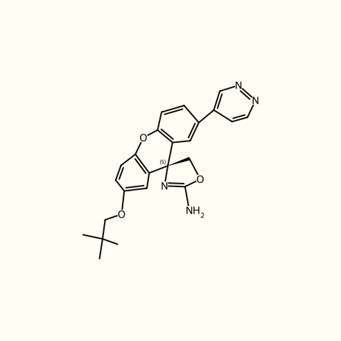 CC(C)(C)COc1ccc2c(c1)[C@]1(COC(N)=N1)c1cc(-c3ccnnc3)ccc1O2